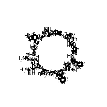 CCCC[C@H]1C(=O)N(C)[C@@H](CCCC)C(=O)N[C@@H](CCCNC(=N)N)C(=O)N[C@H](C(=O)NCC(N)=O)CSCC(=O)N[C@@H](Cc2cccc3[nH]ccc23)C(=O)N(C)[C@@H](C)C(=O)N[C@@H](CC(N)=O)C(=O)N2CCC[C@H]2C(=O)N[C@@H](Cc2cnc[nH]2)C(=O)N[C@@H](CC(C)C)C(=O)N2CCC[C@H]2C(=O)N[C@@H](Cc2c[nH]c3ccccc23)C(=O)N[C@@H](CO)C(=O)N[C@@H](Cc2csc3ccccc23)C(=O)N1C